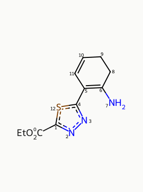 CCOC(=O)c1nnc(C2=C(N)CCC=C2)s1